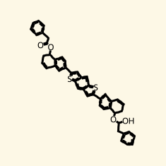 O=C(Cc1ccccc1)OC1CC=Cc2cc(-c3cc4cc5sc(-c6ccc7c(c6)C=CCC7OC(O)Cc6ccccc6)cc5cc4s3)ccc21